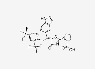 O=C1N=C(N2CCC[C@@H]2C(=O)O)SC1=C(Cc1ccc(C(F)(F)F)cc1C(F)(F)F)c1ccc2[nH]ncc2c1